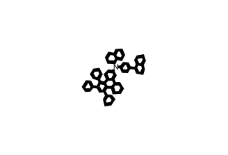 c1ccc(-c2cc(-c3ccccc3)c3c4ccccc4c4cc(N(c5ccc(-c6cccc7ccccc67)cc5)c5cccc6ccccc56)ccc4c3c2-c2ccccc2)cc1